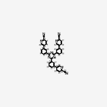 N#Cc1ccc(-c2cccc(-c3nc(-c4cccc(-c5ccc(C#N)nc5)c4)nc(-c4cccc(-c5ccc(C#N)nc5)c4)n3)c2)cn1